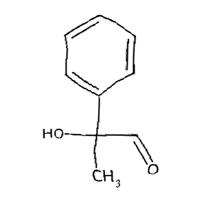 CC(O)(C=O)c1ccccc1